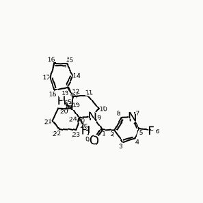 O=C(c1ccc(F)nc1)N1CC[C@H](c2ccccc2)[C@H]2CCCC[C@H]21